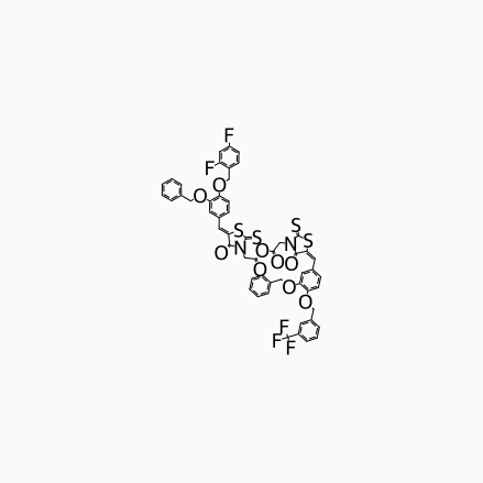 O=C(CN1C(=O)C(=Cc2ccc(OCc3cccc(C(F)(F)F)c3)c(OCc3ccccc3)c2)SC1=S)OC(=O)CN1C(=O)C(=Cc2ccc(OCc3ccc(F)cc3F)c(OCc3ccccc3)c2)SC1=S